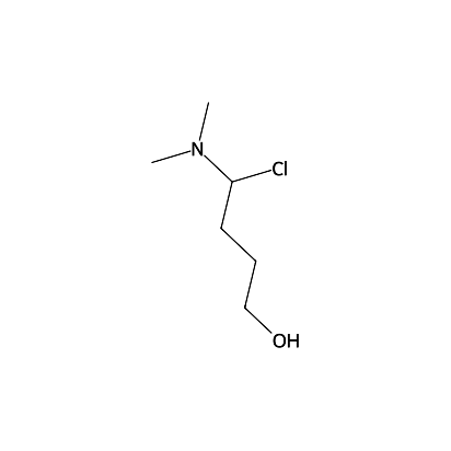 CN(C)C(Cl)CCCO